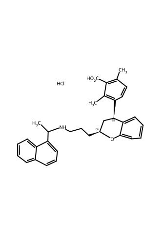 Cc1ccc([C@@H]2C[C@H](CCCNC(C)c3cccc4ccccc34)Oc3ccccc32)c(C)c1C(=O)O.Cl